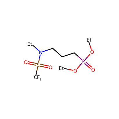 CCOP(=O)(CCCN(CC)S(=O)(=O)C(F)(F)F)OCC